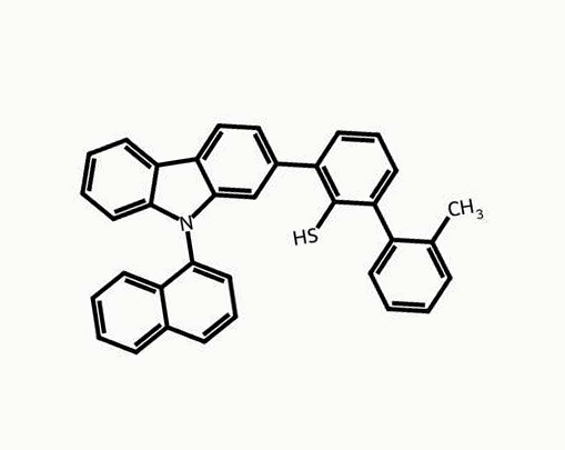 Cc1ccccc1-c1cccc(-c2ccc3c4ccccc4n(-c4cccc5ccccc45)c3c2)c1S